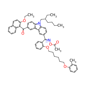 CCCCC(CC)Cn1c2ccc(C(=O)c3c(OCC)ccc4ccccc34)cc2c2cc(/C(=N/OC(C)=O)c3ccccc3OCCCCCCOc3ccccc3C)ccc21